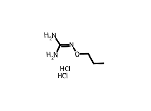 CCCON=C(N)N.Cl.Cl